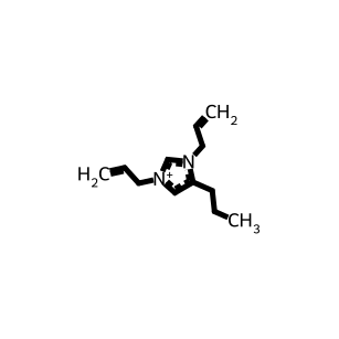 C=CCn1c[n+](CC=C)cc1CCC